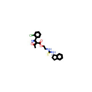 Cc1onc(-c2ccccc2Cl)c1C(=O)OCCNC(=S)N[C@H]1CCc2ccccc21